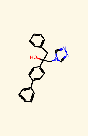 OC(Cc1ccccc1)(Cn1cnnc1)c1ccc(-c2ccccc2)cc1